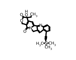 CC[C@@]1(O)C(=O)OCc2c1cc1n(c2=O)Cc2cc3c(C#C[Si](C)(C)C)cccc3nc2-1